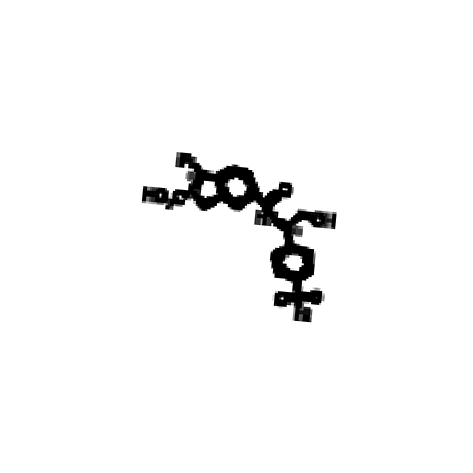 CCS(=O)(=O)c1ccc([C@H](CO)NC(=O)c2ccc3c(c2)CN(C(=O)O)[C@@H]3C(C)C)cc1